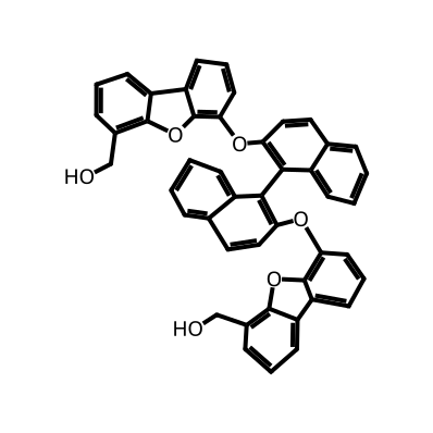 OCc1cccc2c1oc1c(Oc3ccc4ccccc4c3-c3c(Oc4cccc5c4oc4c(CO)cccc45)ccc4ccccc34)cccc12